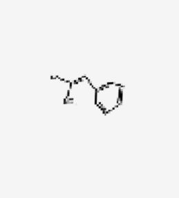 CC(=O)/C(=C/c1ccccc1)[N+](=O)[O-]